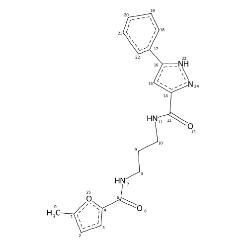 Cc1ccc(C(=O)NCCCNC(=O)c2cc(-c3ccccc3)[nH]n2)o1